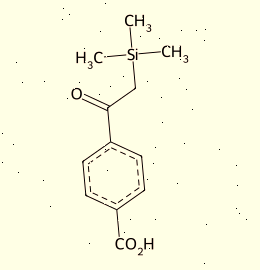 C[Si](C)(C)CC(=O)c1ccc(C(=O)O)cc1